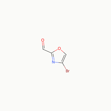 O=Cc1nc(Br)co1